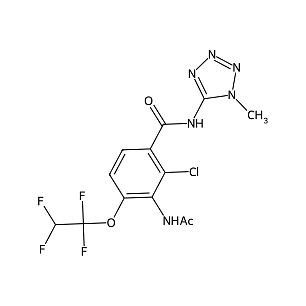 CC(=O)Nc1c(OC(F)(F)C(F)F)ccc(C(=O)Nc2nnnn2C)c1Cl